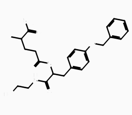 CC(C[CH]C(=O)NC(Cc1ccc(OCc2ccccc2)cc1)C(=O)NCCO)C(N)=O